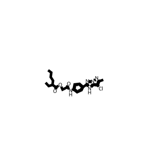 CCCCC(CC)C(=O)OCC(=O)Nc1ccc(-c2nn3nc(C)c(Cl)c3[nH]2)cc1